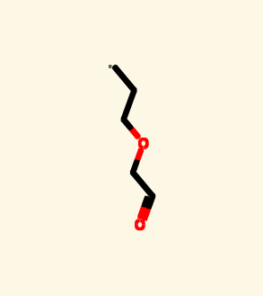 [CH2]CCOCC=O